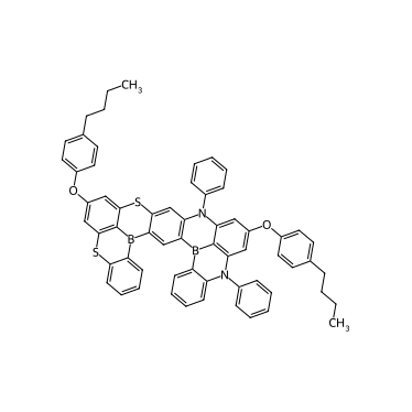 CCCCc1ccc(Oc2cc3c4c(c2)Sc2cc5c(cc2B4c2ccccc2S3)B2c3ccccc3N(c3ccccc3)c3cc(Oc4ccc(CCCC)cc4)cc(c32)N5c2ccccc2)cc1